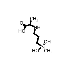 CC(NCCC[Si](C)(O)O)C(=O)O